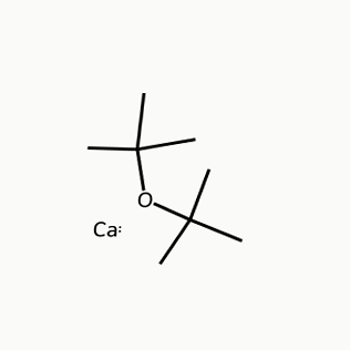 CC(C)(C)OC(C)(C)C.[Ca]